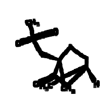 CC1(C)[C@@H]2CC[C@@]1(CS(C)(=O)=O)C(=O)C2